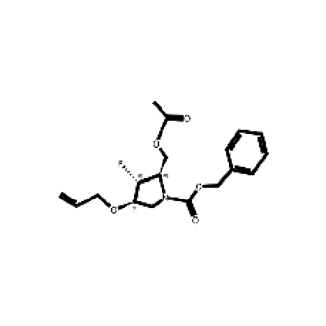 C=CCO[C@@H]1CN(C(=O)OCc2ccccc2)[C@H](COC(C)=O)[C@H]1F